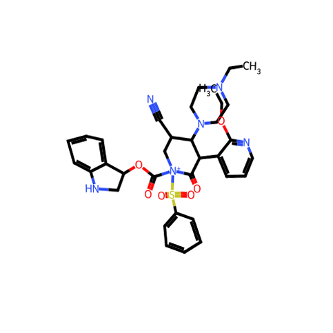 CCOc1ncccc1C1C(=O)[N+](C(=O)OC2CNc3ccccc32)(S(=O)(=O)c2ccccc2)CC(C#N)C1N1CCN(CC)CC1